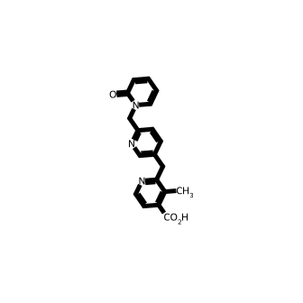 Cc1c(C(=O)O)ccnc1Cc1ccc(Cn2ccccc2=O)nc1